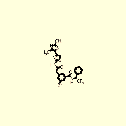 Cc1nc(C)c(-c2csc(NC(=O)Cc3cc(Br)cc(C(=O)N[C@H](c4ccccc4)C(F)(F)F)c3)n2)s1